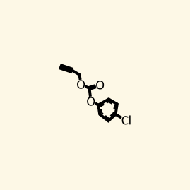 C#CCOC(=O)Oc1ccc(Cl)cc1